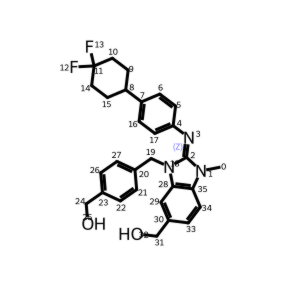 Cn1/c(=N/c2ccc(C3CCC(F)(F)CC3)cc2)n(Cc2ccc(CO)cc2)c2cc(CO)ccc21